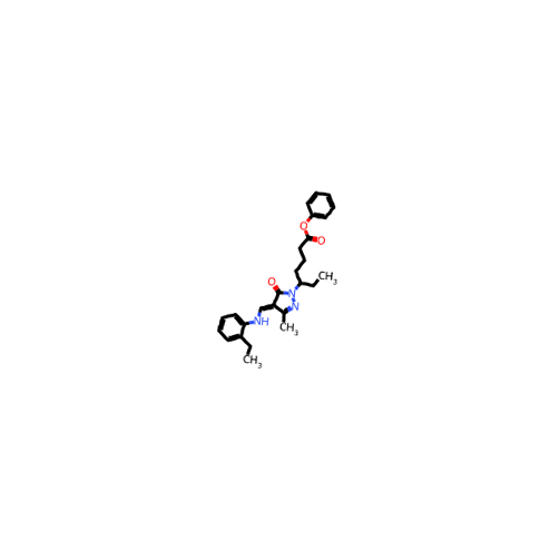 CCc1ccccc1NC=C1C(=O)N(C(CC)CCCC(=O)Oc2ccccc2)N=C1C